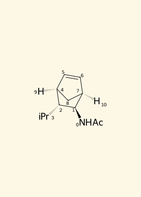 CC(=O)N[C@H]1[C@H](C(C)C)[C@H]2C=C[C@@H]1C2